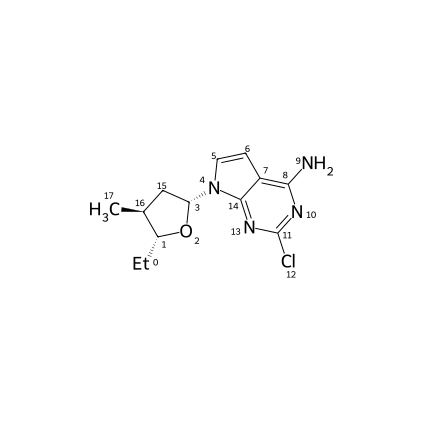 CC[C@H]1O[C@@H](n2ccc3c(N)nc(Cl)nc32)C[C@@H]1C